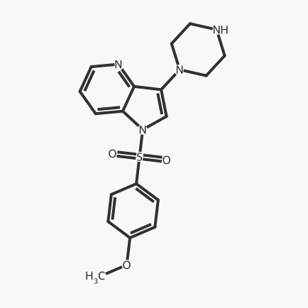 COc1ccc(S(=O)(=O)n2cc(N3CCNCC3)c3ncccc32)cc1